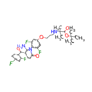 CC(C)(C)OC(=O)C(C)(C)NCCCOc1cc(F)c(-n2c(N)c(C(=O)c3ccc(F)cc3F)ccc2=O)c(F)c1